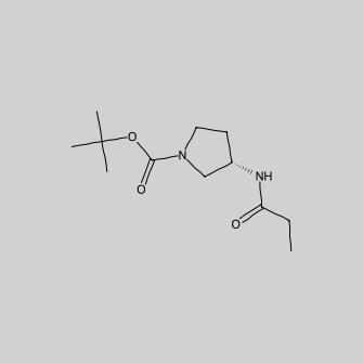 CCC(=O)N[C@H]1CCN(C(=O)OC(C)(C)C)C1